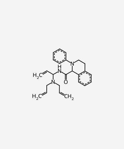 C=CCN(CC=C)C(C=C)NC(=O)C1c2ccccc2CCN1c1ccccc1